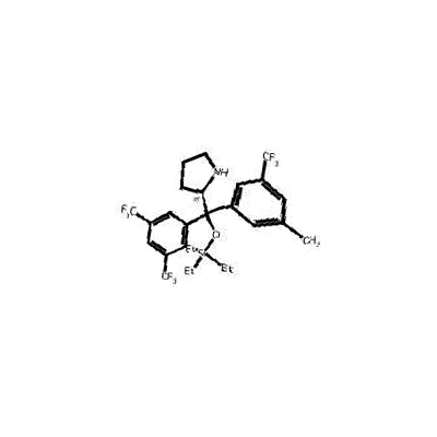 CC[Si](CC)(CC)OC(c1cc(C)cc(C(F)(F)F)c1)(c1cc(C(F)(F)F)cc(C(F)(F)F)c1)[C@H]1CCCN1